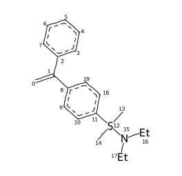 C=C(c1ccccc1)c1ccc(S(C)(C)N(CC)CC)cc1